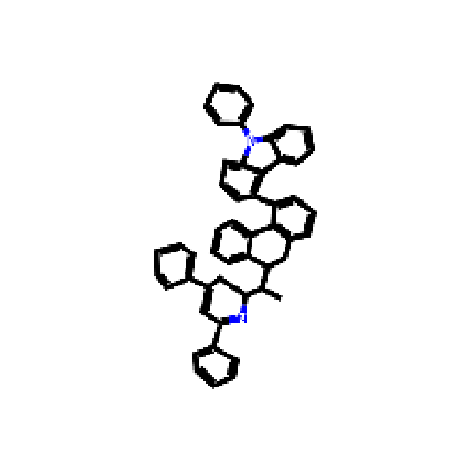 CC(C1CC(c2ccccc2)=CC(c2ccccc2)=N1)C1Cc2cccc(-c3cccc4c3c3ccccc3n4-c3ccccc3)c2-c2ccccc21